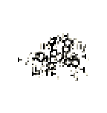 CC1=C(N2c3cc(C(C)(C)C)ccc3B3c4oc5cc6c(cc5c4N(c4cc5c(cc4C)C(C)(C)CCC5(C)C)c4cc(C5(CC7C[C@H]7C)CN5)cc2c43)C(C)(C)CCC6(C)C)CC#CC(C(C)(C)C)=C1